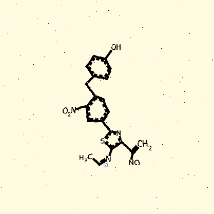 C=C(N=O)c1nc(-c2ccc(Cc3ccc(O)cc3)c([N+](=O)[O-])c2)sc1/N=C\C